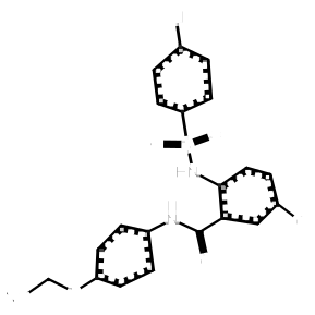 N#CCSc1ccc(NC(=O)c2cc(Cl)ccc2NS(=O)(=O)c2ccc(Cl)cc2)cc1